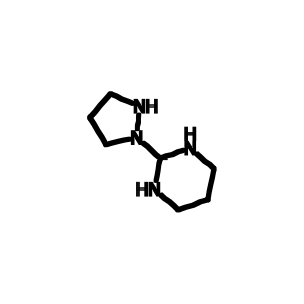 C1CN[C](N2CCCN2)NC1